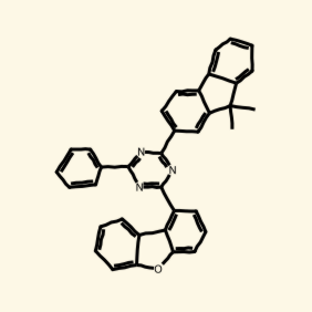 CC1(C)c2ccccc2-c2ccc(-c3nc(-c4ccccc4)nc(-c4cccc5oc6ccccc6c45)n3)cc21